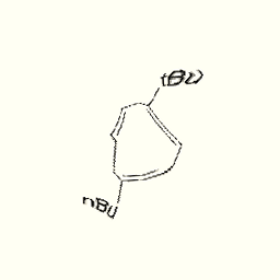 CC[CH]Cc1ccc(C(C)(C)C)cc1